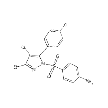 [CH2]Cc1nn(S(=O)(=O)c2ccc(N)cc2)c(-c2ccc(Cl)cc2)c1Cl